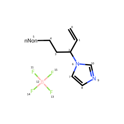 C=CC(CCCCCCCCCCC)n1ccnc1.F[B-](F)(F)F